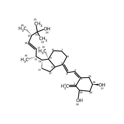 C=C1C(=CC=C2CCC[C@@]3(C)C2CC[C@@H]3[C@H](C)C=C[C@H](C)C(C)(C)O)C[C@@H](O)CC1O